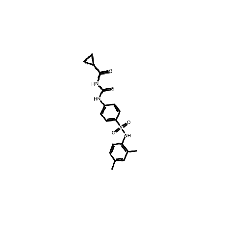 Cc1ccc(NS(=O)(=O)c2ccc(NC(=S)NC(=O)C3CC3)cc2)c(C)c1